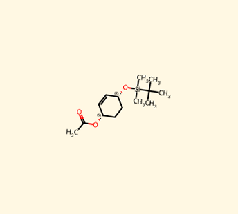 CC(=O)O[C@@H]1C=C[C@H](O[Si](C)(C)C(C)(C)C)CC1